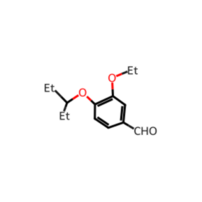 CCOc1cc(C=O)ccc1OC(CC)CC